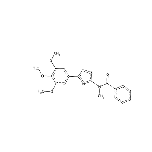 COc1cc(-c2csc(N(C)C(=O)c3ccccc3)n2)cc(OC)c1OC